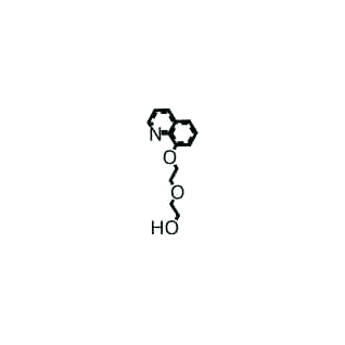 OCCOCCOc1cccc2cccnc12